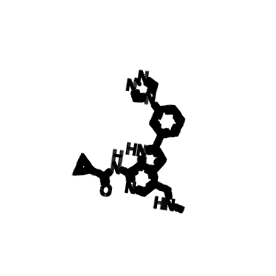 CNCc1cnc(NC(=O)C2CC2)c2[nH]c(-c3cccc(-n4cnnc4)c3)cc12